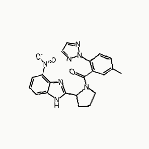 Cc1ccc(-n2nccn2)c(C(=O)N2CCCC2c2nc3c([N+](=O)[O-])cccc3[nH]2)c1